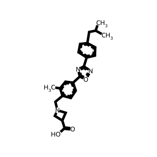 Cc1cc(-c2nc(-c3ccc(CC(C)C)cc3)no2)ccc1CN1CC(C(=O)O)C1